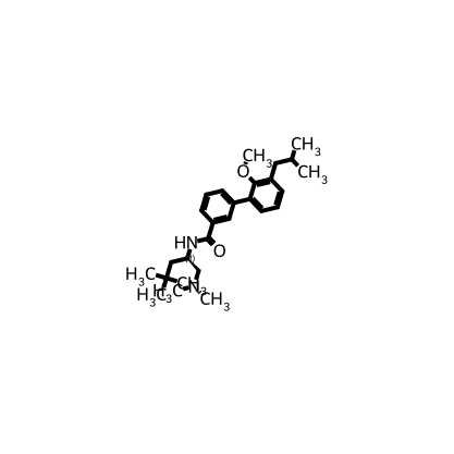 COc1c(CC(C)C)cccc1-c1cccc(C(=O)N[C@@H](CN(C)C)CC(C)(C)C)c1